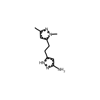 Cc1cc(CCc2cc(N)n[nH]2)n(C)n1